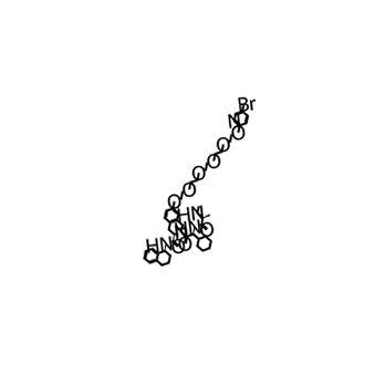 CN[C@@H](C)C(=O)N[C@H](C(=O)N1Cc2cc(OCCOCCOCCOCCOCCOc3ccc(Br)cn3)ccc2C[C@@H]1C(=O)N[C@H]1CCCc2ccccc21)C1CCCCC1